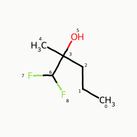 CCCC(C)(O)C(F)F